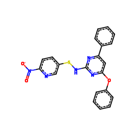 O=[N+]([O-])c1ccc(SNc2nc(Oc3ccccc3)cc(-c3ccccc3)n2)cn1